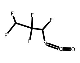 O=C=NC(F)C(F)(F)C(F)F